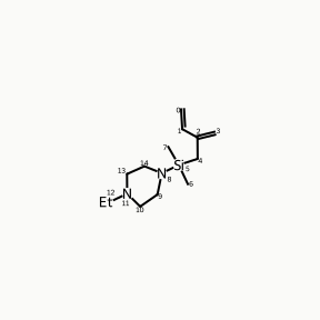 C=CC(=C)C[Si](C)(C)N1CCN(CC)CC1